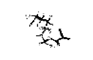 C=C(C)C(=O)OC(F)(N(C)S(=O)(=O)C(F)(F)C(F)(F)C(F)(F)C(F)(F)F)C(F)(F)F